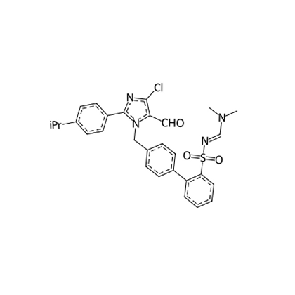 CC(C)c1ccc(-c2nc(Cl)c(C=O)n2Cc2ccc(-c3ccccc3S(=O)(=O)/N=C/N(C)C)cc2)cc1